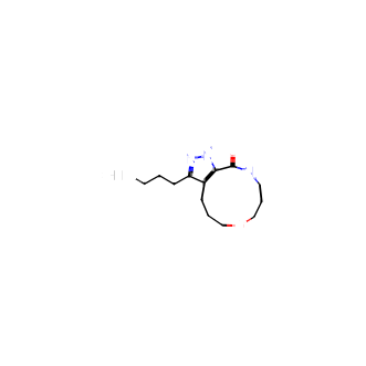 CCn1nc(CCCC=O)c2c1C(=O)NCCCOCCC2